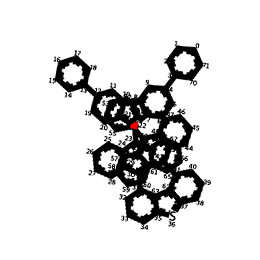 c1ccc(-c2ccc3c(c2)c2cc(-c4ccccc4)ccc2n3-c2c3ccccc3c(-c3cccc4sc5cccc(-c6c7ccccc7c(-c7ccccc7)c7ccccc67)c5c34)c3ccccc23)cc1